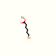 CCOC(=O)CCCCCS